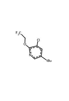 CC(C)(C)c1cnc(OCC(F)(F)F)c(Cl)c1